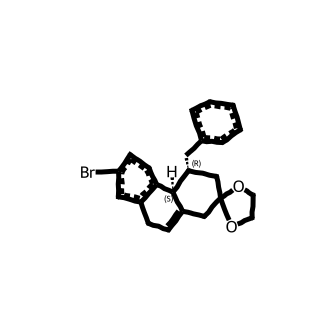 Brc1ccc2c(c1)CC=C1CC3(C[C@@H](Cc4ccccc4)[C@@H]12)OCCO3